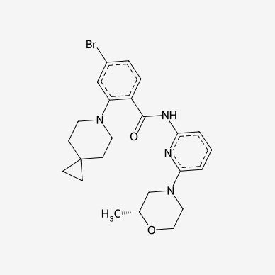 C[C@@H]1CN(c2cccc(NC(=O)c3ccc(Br)cc3N3CCC4(CC3)CC4)n2)CCO1